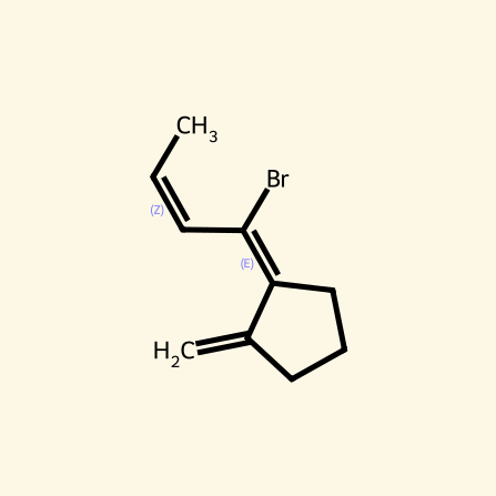 C=C1CCC/C1=C(Br)/C=C\C